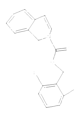 O=C(OCc1c(F)cccc1F)N1C=Cc2ccccc2C1